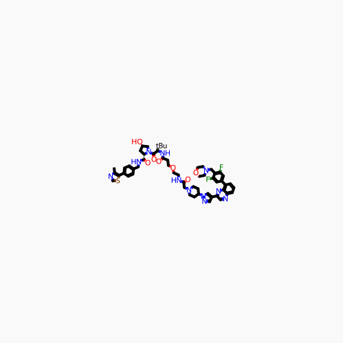 Cc1ncsc1-c1ccc(CNC(=O)[C@@H]2C[C@@H](O)CN2C(=O)C(NC(=O)CCOCCNC(=O)CN2CCC(n3cc(-c4cnc5cccc(-c6cc(F)c(CN7CCOCC7)c(F)c6)c5n4)cn3)CC2)C(C)(C)C)cc1